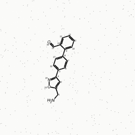 NCc1cc(-c2ccc(-c3ccccc3C=O)cc2)no1